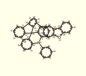 c1ccc(N2c3ccccc3C3(c4ccccc4-c4cccc(-c5ccc6oc7ccccc7c6c5)c43)c3ccccc32)cc1